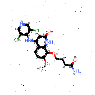 COc1ccc2c(Nc3c(Cl)cncc3Cl)cc(=O)[nH]c2c1OCCCC(N)=O